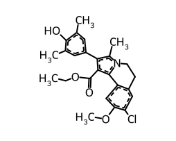 CCOC(=O)c1c(-c2cc(C)c(O)c(C)c2)c(C)n2c1-c1cc(OC)c(Cl)cc1CC2